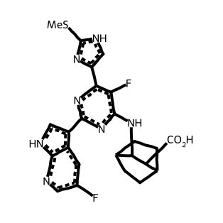 CSc1nc(-c2nc(-c3c[nH]c4ncc(F)cc34)nc(NC3C4CCC(CC4)C3C(=O)O)c2F)c[nH]1